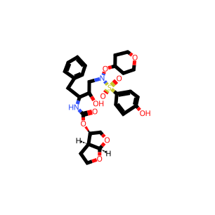 O=C(NC(Cc1ccccc1)C(O)CN(OC1CCOCC1)S(=O)(=O)c1ccc(O)cc1)O[C@H]1CO[C@H]2OCC[C@H]21